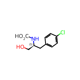 O=C(O)N[C@H](CO)Cc1ccc(Cl)cc1